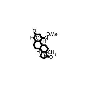 CO/N=C1\CC(=O)CC2CC[C@@H]3[C@H](CC[C@]4(C)C(=O)CC[C@@H]34)[C@@]12C